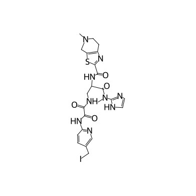 CN1CCc2nc(C(=O)NC(CNC(=O)C(=O)Nc3ccc(CI)cn3)C(=O)N(C)c3ncc[nH]3)sc2C1